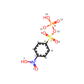 O=[N+](O)c1ccc(S(=O)(=O)OP(=O)([O-])O)cc1